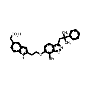 CCCc1c(OCCc2cc3cc(CC(=O)O)ccc3[nH]2)ccc2c(CC(C)(C)c3ccccc3)noc12